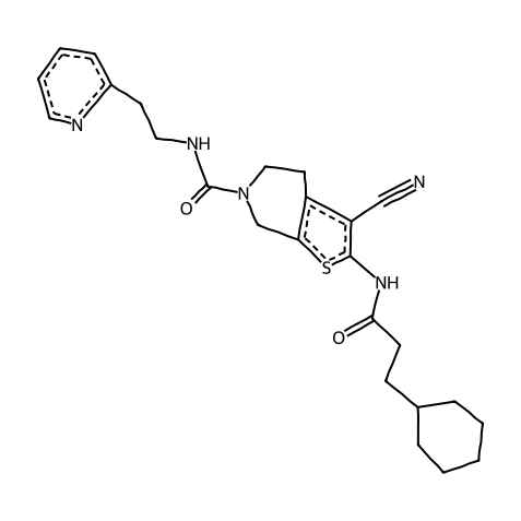 N#Cc1c(NC(=O)CCC2CCCCC2)sc2c1CCN(C(=O)NCCc1ccccn1)C2